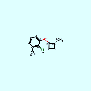 C[C@@H]1CC[C@H]1Oc1cccc(C(F)(F)F)c1Cl